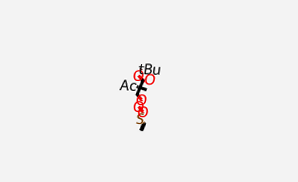 C=CSOOOCC(C)(C(C)=O)C(=O)OC(C)(C)C